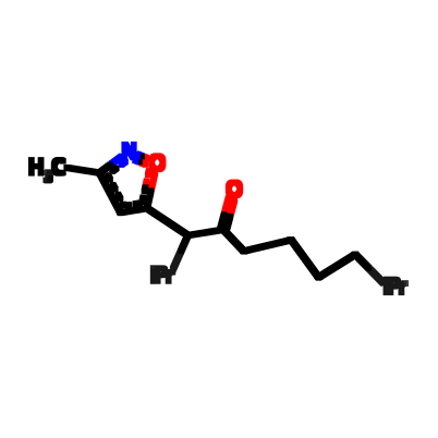 Cc1cc(C(C(=O)CCCCC(C)C)C(C)C)on1